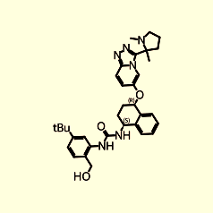 CN1CCCC1(C)c1nnc2ccc(O[C@@H]3CC[C@H](NC(=O)Nc4cc(C(C)(C)C)ccc4CO)c4ccccc43)cn12